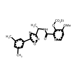 CCOC(=O)Oc1c(OC)ccnc1C(=O)N[C@@H](C)c1noc(-c2cc(C)cc(C)c2)n1